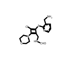 NCc1cccnc1SC1=C(Cl)C(N2CCOCC2)=C1CNC=O